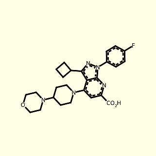 O=C(O)c1cc(N2CCC(N3CCOCC3)CC2)c2c(C3CCC3)nn(-c3ccc(F)cc3)c2n1